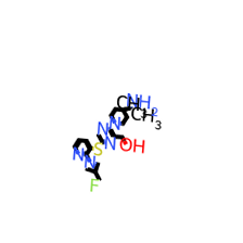 CC(N)C1(C)CCN(c2ncc(Sc3cccnc3N3CC(CF)C3)nc2CO)CC1